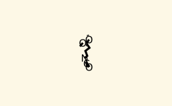 CO[C](CCCN=C=O)OC